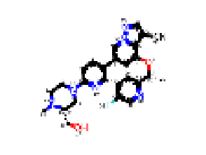 C[C@@H](Oc1cc(-c2ccc(N3CCN(C)[C@@H](CO)C3)nc2)cn2ncc(C#N)c12)c1ccc(F)cn1